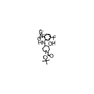 CC(C)(C)OC(=O)N1CCC(Nc2cc(F)ccc2[N+](=O)[O-])C(O)C1